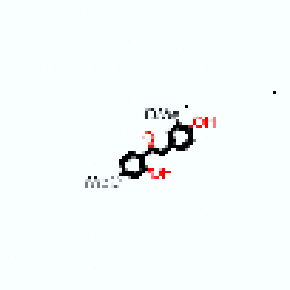 COc1ccc(C(=O)Cc2ccc(O)c(OC)c2)c(O)c1